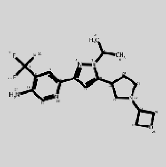 CC(C)n1nc(-c2cc(C(F)(F)F)c(N)cn2)cc1C1CCN(C2COC2)C1